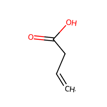 [CH]=CCC(=O)O